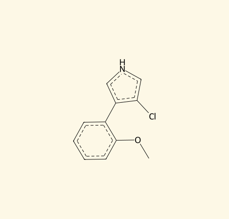 COc1ccccc1-c1c[nH]cc1Cl